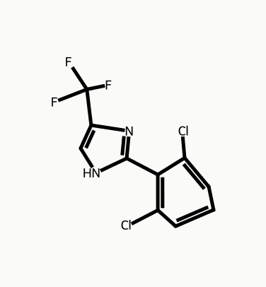 FC(F)(F)c1c[nH]c(-c2c(Cl)cccc2Cl)n1